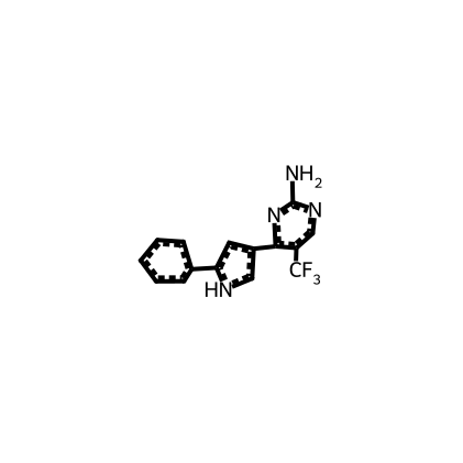 Nc1ncc(C(F)(F)F)c(-c2c[nH]c(-c3ccccc3)c2)n1